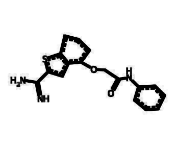 N=C(N)c1cc2c(OCC(=O)Nc3ccccc3)cccc2s1